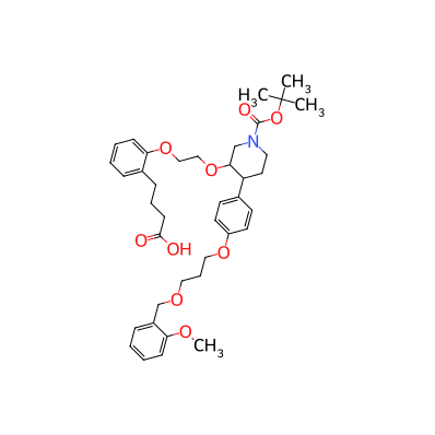 COc1ccccc1COCCCOc1ccc(C2CCN(C(=O)OC(C)(C)C)CC2OCCOc2ccccc2CCCC(=O)O)cc1